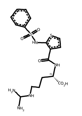 NC(N)NCCC[C@H](NC(=O)c1ccsc1NS(=O)(=O)c1ccccc1)C(=O)O